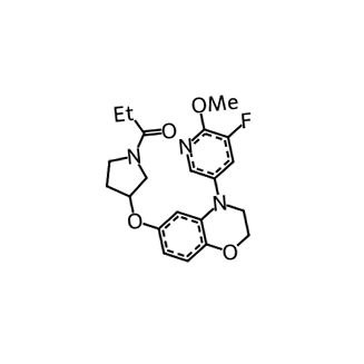 CCC(=O)N1CCC(Oc2ccc3c(c2)N(c2cnc(OC)c(F)c2)CCO3)C1